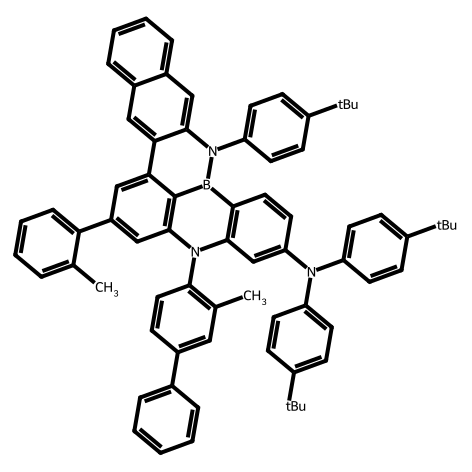 Cc1ccccc1-c1cc2c3c(c1)N(c1ccc(-c4ccccc4)cc1C)c1cc(N(c4ccc(C(C)(C)C)cc4)c4ccc(C(C)(C)C)cc4)ccc1B3N(c1ccc(C(C)(C)C)cc1)c1cc3ccccc3cc1-2